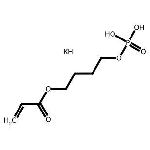 C=CC(=O)OCCCCOP(=O)(O)O.[KH]